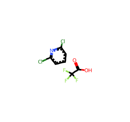 Clc1cccc(Cl)n1.O=C(O)C(F)(F)F